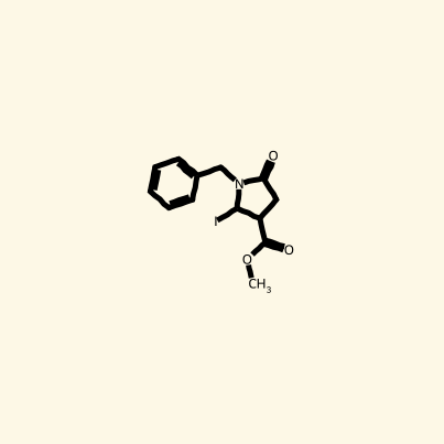 COC(=O)C1CC(=O)N(Cc2ccccc2)C1I